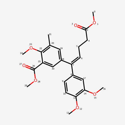 COC(=O)CC/C=C(/c1ccc(OC)c(OC)c1)c1cc(C)c(OC)c(C(=O)OC)c1